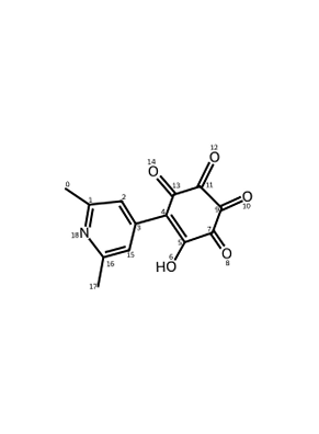 Cc1cc(-c2c(O)c(=O)c(=O)c(=O)c2=O)cc(C)n1